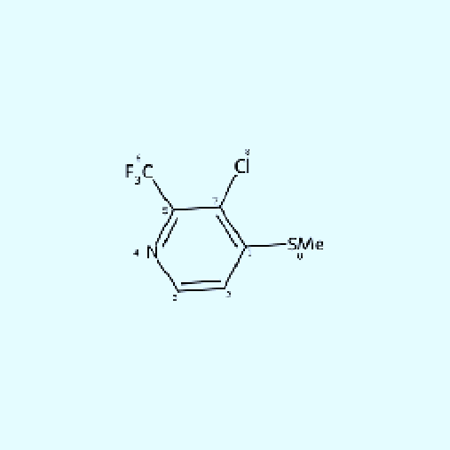 CSc1ccnc(C(F)(F)F)c1Cl